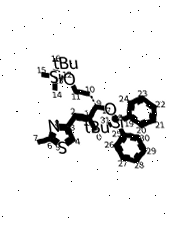 C/C(=C\c1csc(C)n1)[C@H](CCO[Si](C)(C)C(C)(C)C)O[Si](c1ccccc1)(c1ccccc1)C(C)(C)C